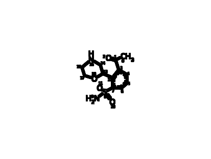 CC(=O)c1cccc(S(N)(=O)=O)c1C1CNCCO1